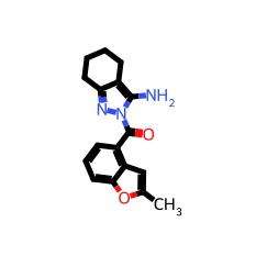 Cc1cc2c(C(=O)n3nc4c(c3N)CCCC4)cccc2o1